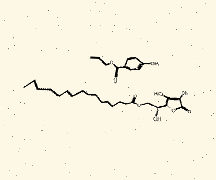 CCCCCCCCCCCCCCCC(=O)OC[C@H](O)[C@H]1OC(=O)C(O)=C1O.CCCOC(=O)c1ccc(O)cc1